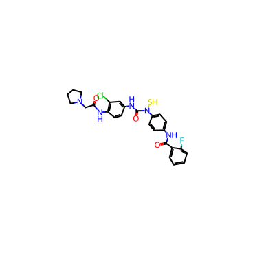 O=C(CN1CCCC1)Nc1ccc(NC(=O)N(S)c2ccc(NC(=O)c3ccccc3F)cc2)cc1Cl